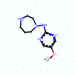 COc1cnc(NN2CCCNCC2)nc1